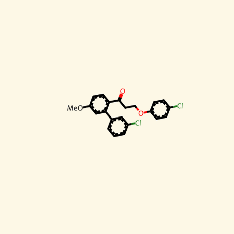 COc1ccc(C(=O)CCOc2ccc(Cl)cc2)c(-c2cccc(Cl)c2)c1